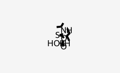 CC(C)NC(=S)O[PH](=O)O.CCCC